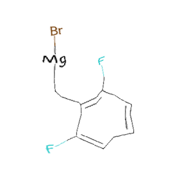 Fc1cccc(F)c1[CH2][Mg][Br]